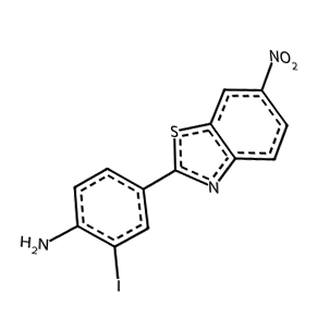 Nc1ccc(-c2nc3ccc([N+](=O)[O-])cc3s2)cc1I